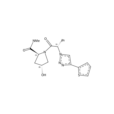 CNC(=O)[C@@H]1C[C@@H](O)CN1C(=O)[C@H](C(C)C)n1cc(-c2cccs2)nn1